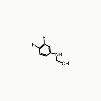 OCNc1ccc(F)c(F)c1